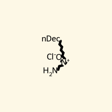 CCCCCCCCCCCCCCCC(=O)C[N+](C)(C)CCCN.[Cl-]